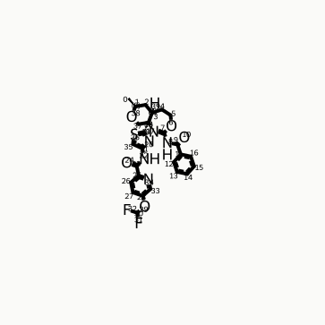 C[C@H]1C[C@H]2CCOC(NC(=O)c3ccccc3)=N[C@@]2(c2nc(NC(=O)c3ccc(OC(F)F)cn3)cs2)CO1